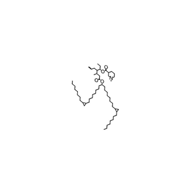 C=CCC(C(C)CC(=O)OC(CCCCCCCCC1CC1CCCCCCCC)CCCCCCCCC1CC1CCCCCCCC)C(CC)OC(=O)C1CCCN(C)C1